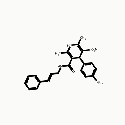 CC1=C(C(=O)O)C(c2ccc([N+](=O)[O-])cc2)C(C(=O)NCC=Cc2ccccc2)=C(C)N1